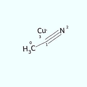 CC#N.[Cu]